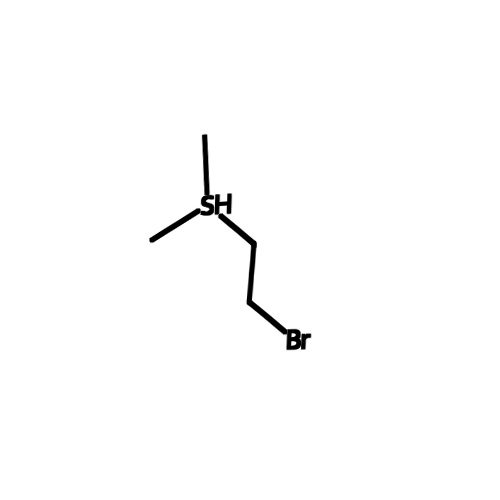 C[SH](C)CCBr